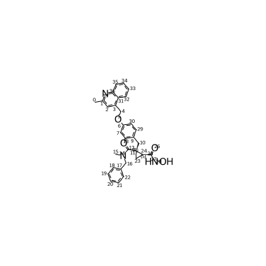 Cc1cc(COc2ccc(C[C@]3(C(=O)N(C)Cc4ccccc4)C[C@@H]3C(=O)NO)cc2)c2ccccc2n1